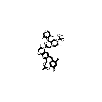 CC(=O)OCc1nc2c(cc1Cc1ccc(F)cc1F)N(C(=O)CN1C[C@@H](C)N(C(=O)O)C[C@@H]1CN1[C@H](C)COC[C@H]1C)[C@@H](C)CO2